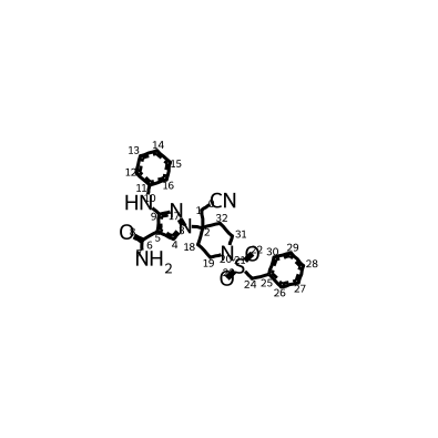 N#CCC1(n2cc(C(N)=O)c(Nc3ccccc3)n2)CCN(S(=O)(=O)Cc2ccccc2)CC1